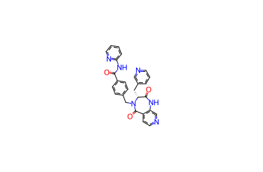 O=C(Nc1ccccn1)c1ccc(CN2C(=O)c3ccncc3NC(=O)[C@H]2Cc2cccnc2)cc1